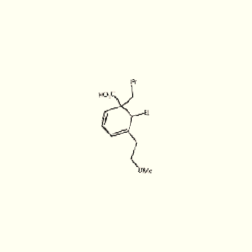 CCC1C(CCOC)=CC=CC1(CC(C)C)C(=O)O